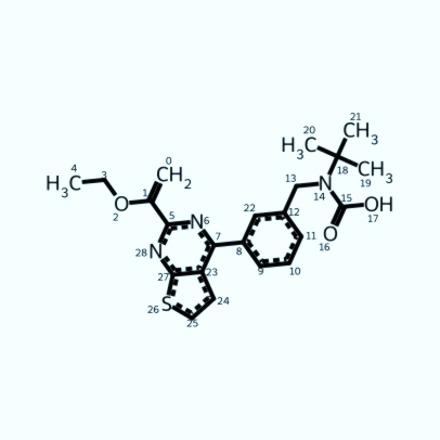 C=C(OCC)c1nc(-c2cccc(CN(C(=O)O)C(C)(C)C)c2)c2ccsc2n1